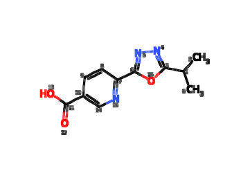 CC(C)c1nnc(-c2ccc(C(=O)O)cn2)o1